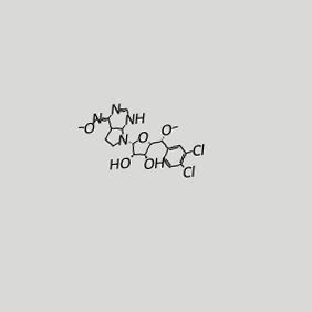 CO/N=C1/N=CNC2C1CCN2[C@@H]1O[C@H]([C@H](OC)c2ccc(Cl)c(Cl)c2)[C@@H](O)[C@H]1O